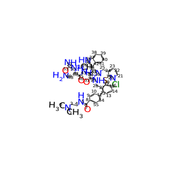 CN(C)CCNC(=O)c1ccc(-c2ccc(Cl)c(Sc3ncccc3CN)c2CNC(=O)[C@H](Cc2c[nH]c3ccccc23)N(C)C(=O)[C@H](CN)NC(N)=O)cc1